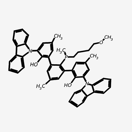 COCCCCP(C)c1c(-c2cc(C)cc(-n3c4ccccc4c4ccccc43)c2O)cc(C)cc1-c1cc(C)cc(-n2c3ccccc3c3ccccc32)c1O